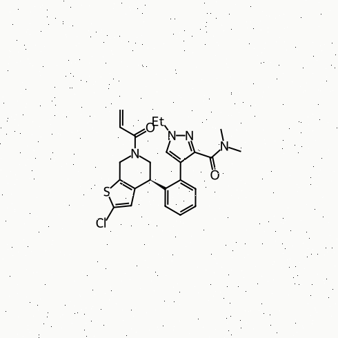 C=CC(=O)N1Cc2sc(Cl)cc2[C@H](c2ccccc2-c2cn(CC)nc2C(=O)N(C)C)C1